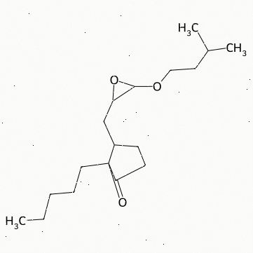 CCCCCC1C(=O)CCC1CC1OC1OCCC(C)C